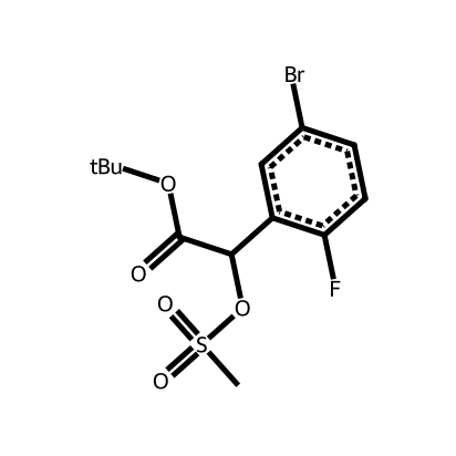 CC(C)(C)OC(=O)C(OS(C)(=O)=O)c1cc(Br)ccc1F